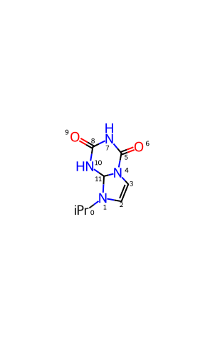 CC(C)N1C=CN2C(=O)NC(=O)NC21